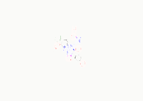 O=C(NC(CN1CCCC1)C(O)c1ccc(OC2CC2)c(Cl)c1)C1=NOCc2cc(OCC3CCCCC3)ccc21